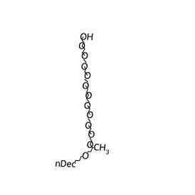 CCCCCCCCCCCCCOCCC(C)OCCOCCOCCOCCOCCOCCOCCOCCOCCOCCOCCO